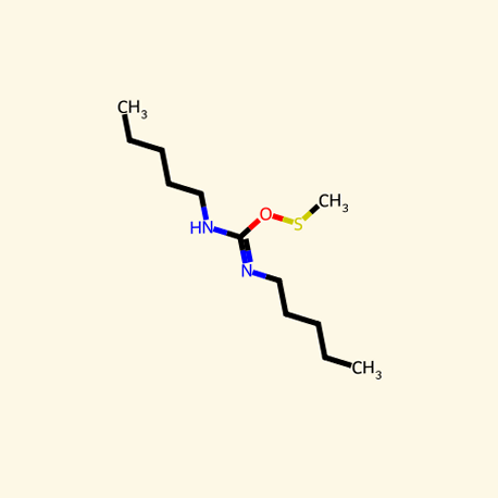 CCCCC/N=C(/NCCCCC)OSC